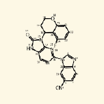 [C-]#[N+]c1ccc2ncn(-c3ncc4[nH]c(=O)n(C5CCOc6cccc(F)c65)c4n3)c2c1